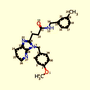 COc1ccc(Cn2c(CCC(=O)NCc3cccc(C)c3)nc3cccnc32)cc1